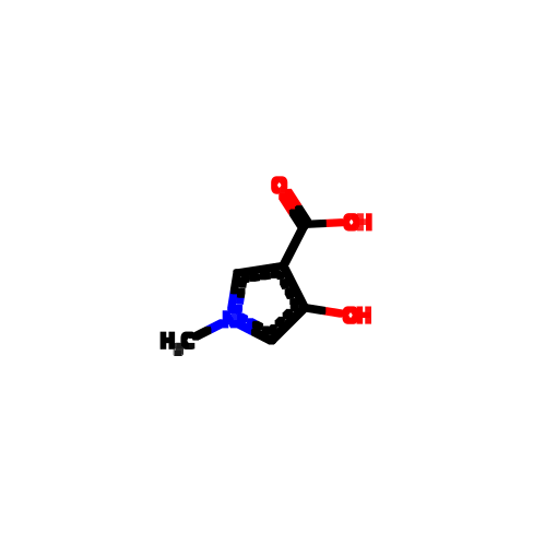 Cn1cc(O)c(C(=O)O)c1